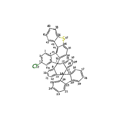 Clc1ccc2c(c1)C1(c3ccccc3C3(c4ccccc4-c4ccccc43)c3ccccc31)c1ccc3sc4ccccc4c3c1-2